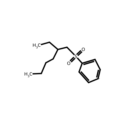 CCCCC(CC)CS(=O)(=O)c1cc[c]cc1